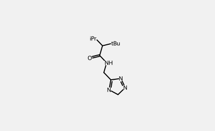 CC(C)C(C(=O)NCC1=NCN=N1)C(C)(C)C